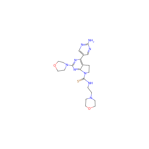 Nc1ncc(-c2nc(N3CCOCC3)nc3c2CCN3C(=S)NCCN2CCOCC2)cn1